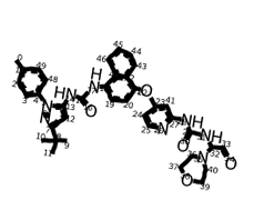 Cc1ccc(-n2nc(C(C)(C)C)cc2NC(=O)Nc2ccc(Oc3ccnc(NC(=O)NC(C=O)N4CCOCC4)c3)c3ccccc23)cc1